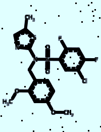 COc1ccc(CN(c2ncc(C)s2)S(=O)(=O)c2cc(Cl)c(F)cc2F)c(OC)c1